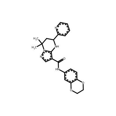 CC1(C)CC(c2ccccn2)Nc2c(C(=O)Nc3ccc4c(c3)OCCO4)cnn21